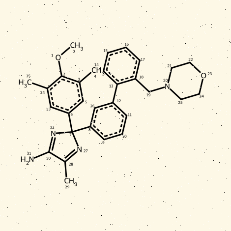 COc1c(C)cc(C2(c3cccc(-c4ccccc4CN4CCOCC4)c3)N=C(C)C(N)=N2)cc1C